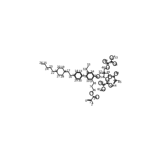 C=C(C)C(=O)OCCCc1cc(-c2ccc(CCC3CCC(CCCCC)CC3)cc2)c(CC)cc1OCC(COC(=O)C(=C)C)(COC(=O)C(=O)OC)COC(=O)C(=O)OC